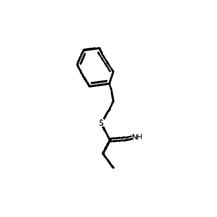 CCC(=N)SCc1ccccc1